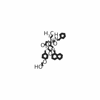 CCCN(C(=O)NCc1ccccc1)N1CC(=O)N2[C@@H](Cc3ccc(OCCO)cc3)C(=O)N(Cc3cccc4ccccc34)C[C@@H]21